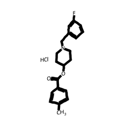 Cc1ccc(C(=O)OC2CCN(Cc3cccc(F)c3)CC2)cc1.Cl